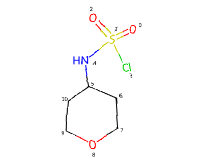 O=S(=O)(Cl)NC1CCOCC1